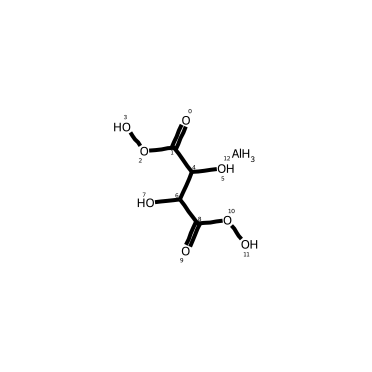 O=C(OO)C(O)C(O)C(=O)OO.[AlH3]